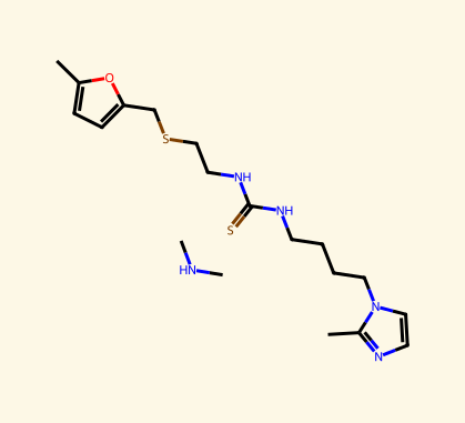 CNC.Cc1ccc(CSCCNC(=S)NCCCCn2ccnc2C)o1